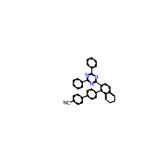 N#Cc1ccc(-c2ccc(-c3c(-c4nc(-c5ccccc5)nc(-c5ccccc5)n4)ccc4c3=CCCC=4)cc2)cc1